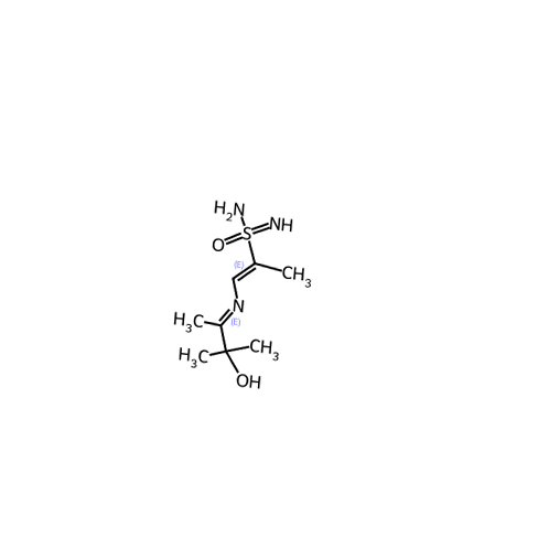 C/C(=C\N=C(/C)C(C)(C)O)S(=N)(N)=O